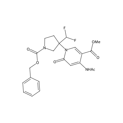 COC(=O)c1cn(C2(C(F)F)CCN(C(=O)OCc3ccccc3)C2)c(=O)cc1NC(C)=O